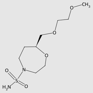 COCCOC[C@@H]1CCN(S(N)(=O)=O)CCO1